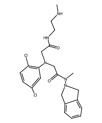 CNCCNC(=O)CN(CC(=O)N(C)N1Cc2ccccc2C1)c1cc(Cl)ccc1Cl